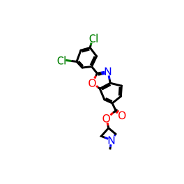 CN1CC(OC(=O)c2ccc3nc(-c4cc(Cl)cc(Cl)c4)oc3c2)C1